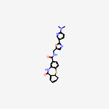 CN(C)c1ccc(-c2ncc(CNC(=O)c3ccc4c(c3)NC(=O)C3=CC=CCC3S4)s2)cn1